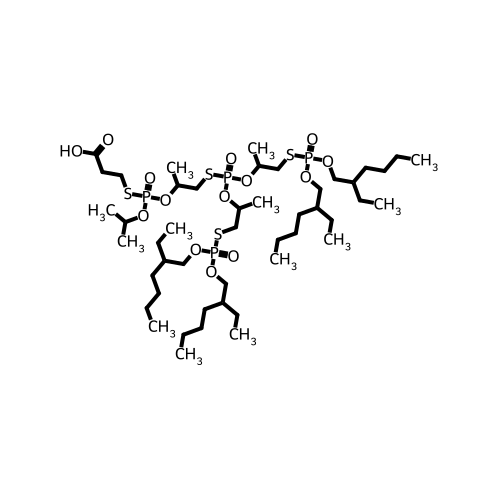 CCCCC(CC)COP(=O)(OCC(CC)CCCC)SCC(C)OP(=O)(OC(C)CSP(=O)(OCC(CC)CCCC)OCC(CC)CCCC)SCC(C)OP(=O)(OC(C)C)SCCC(=O)O